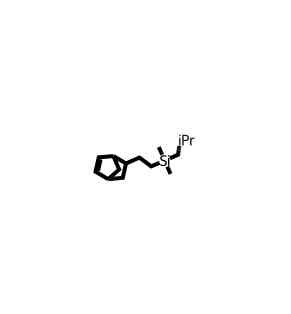 CC(C)C[Si](C)(C)CCC1CC2C=CC1C2